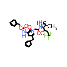 CC(C)C(NC(=O)Cn1cc(Cc2ccccc2)cc(NC(=O)OCc2ccccc2)c1=O)C(=O)CC(F)(F)F